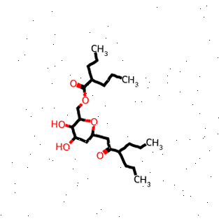 CCCC(CCC)C(=O)CC1CC(O)C(O)C(COC(=O)C(CCC)CCC)O1